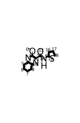 COc1nc2ccccc2nc1C(=O)Nc1cccs1